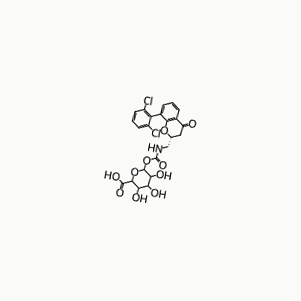 O=C(NC[C@H]1CC(=O)c2cccc(-c3c(Cl)cccc3Cl)c2O1)OC1OC(C(=O)O)C(O)C(O)C1O